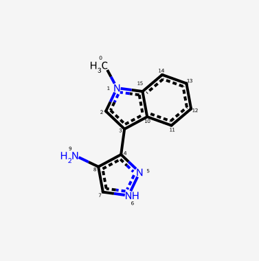 Cn1cc(-c2n[nH]cc2N)c2ccccc21